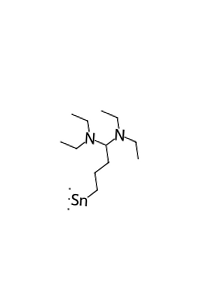 CCN(CC)C(CC[CH2][Sn])N(CC)CC